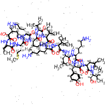 C/C=C(/NC(=O)[C@@H](O)[C@@H](C)CC)C(=O)N[C@@H](CCSC)C(=O)N[C@H](CCCN)C(=O)N[C@H](C(=O)N[C@H](C(=O)N[C@H](C(=O)N[C@H](CCCCN)C(=O)N[C@H](C(=O)N[C@H](CC(C)C)C(=O)N[C@@H](CCCCN)C(=O)N[C@H](Cc1ccc(O)cc1)C(=O)N[C@@H](CC(C)C)C(=O)N[C@H](CO)C(C)C)C(C)C)C(C)C)C(C)C)[C@@H](C)CC